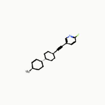 CCCC[C@H]1CC[C@H](C2CCC(C#Cc3ccc(F)nc3)CC2)CC1